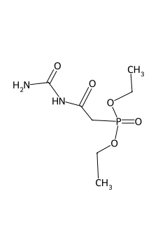 CCOP(=O)(CC(=O)NC(N)=O)OCC